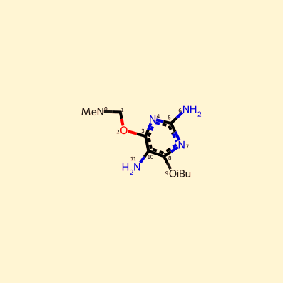 CNCOc1nc(N)nc(OCC(C)C)c1N